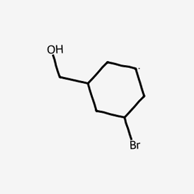 OCC1C[CH]CC(Br)C1